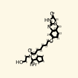 CCCC(C1CCCC1)N(CCO)C(=O)CCCCCCOc1ccc2c(c1)N=C1NC(=O)CN1C2